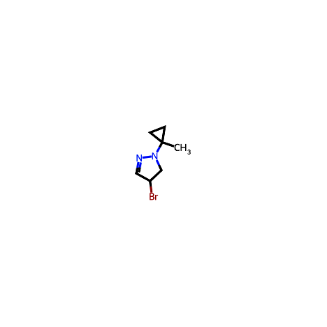 CC1(N2CC(Br)C=N2)CC1